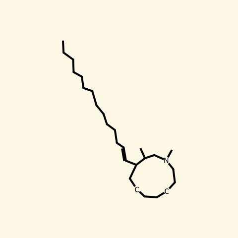 CCCCCCCCCCCCC=CC1CCCCCCCN(C)CC1C